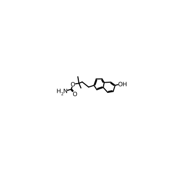 CC(C)(CCc1ccc2cc(O)ccc2c1)OC(N)=O